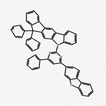 c1ccc(-c2cc(-c3ccc4c(c3)oc3ccccc34)nc(-n3c4ccccc4c4cc5c(cc43)C(c3ccccc3)(c3ccccc3)c3ccccc3-5)n2)cc1